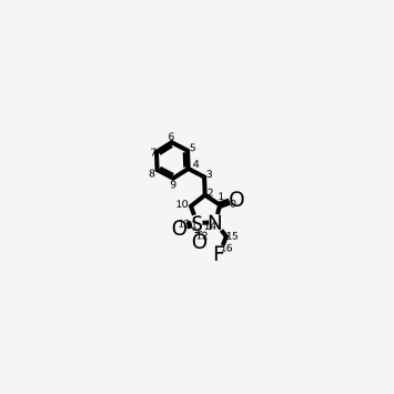 O=C1C(Cc2ccccc2)CS(=O)(=O)N1CF